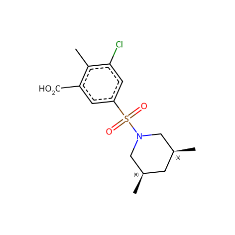 Cc1c(Cl)cc(S(=O)(=O)N2C[C@H](C)C[C@H](C)C2)cc1C(=O)O